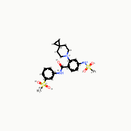 CC(C)S(=O)(=O)Nc1ccc(C(=O)Nc2cccc(S(C)(=O)=O)c2)c(N2CCC3(CC2)CC3)c1